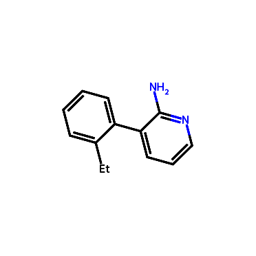 CCc1ccccc1-c1cccnc1N